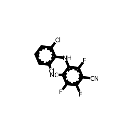 N#Cc1c(F)c(F)c(C#N)c(Nc2c(Cl)cccc2Cl)c1F